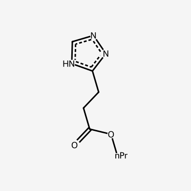 CCCOC(=O)CCc1nnc[nH]1